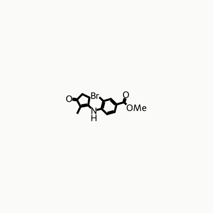 COC(=O)c1ccc(NC2=C(C)C(=O)CC2)c(Br)c1